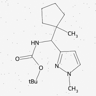 Cn1ccc(C(NC(=O)OC(C)(C)C)C2(C)CCCC2)n1